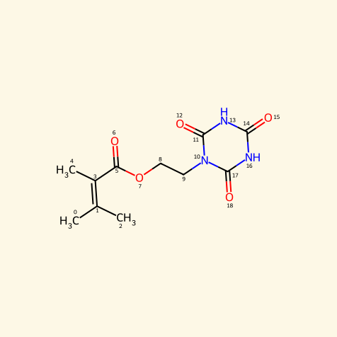 CC(C)=C(C)C(=O)OCCn1c(=O)[nH]c(=O)[nH]c1=O